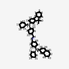 CC1(C)c2ccccc2-c2ccc(N(c3ccccc3)c3ccc(/C=C/c4ccc(N(c5ccccc5)c5ccc6ccccc6c5)cc4)cc3)cc21